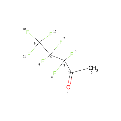 CC(=O)C(F)(F)C(F)(F)C(F)(F)F